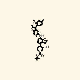 COc1cc(C)ccc1-c1c(C)sc2cnc(Nc3ccc(C4CCN(C(=O)OC(C)(C)C)CC4O)c4c3OCC4)nc12